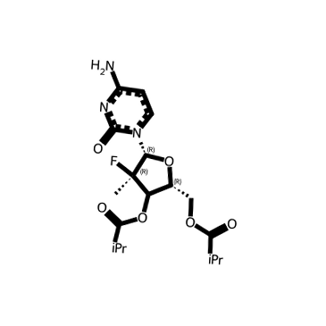 CC(C)C(=O)OC[C@H]1O[C@@H](n2ccc(N)nc2=O)[C@](C)(F)C1OC(=O)C(C)C